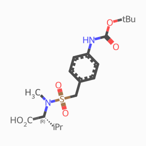 CC(C)[C@H](C(=O)O)N(C)S(=O)(=O)Cc1ccc(NC(=O)OC(C)(C)C)cc1